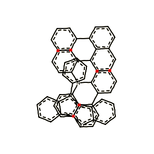 c1ccc(-c2cccc3cccc(-c4ccccc4N(c4ccccc4-c4cccc5c6ccccc6n(-c6ccccc6)c45)c4cccc5oc6ccccc6c45)c23)cc1